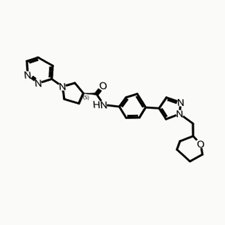 O=C(Nc1ccc(-c2cnn(CC3CCCCO3)c2)cc1)[C@H]1CCN(c2cccnn2)C1